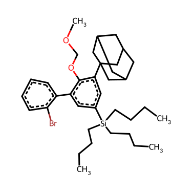 CCCC[Si](CCCC)(CCCC)c1cc(-c2ccccc2Br)c(OCOC)c(C23CC4CC(CC(C4)C2)C3)c1